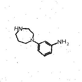 Nc1cccc(N2CCCNCC2)c1